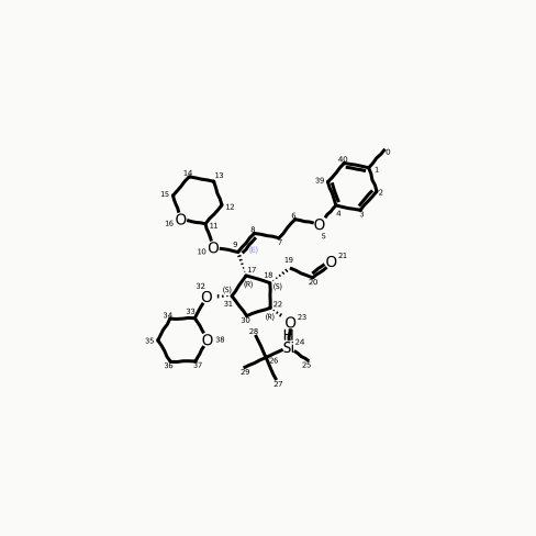 Cc1ccc(OCC/C=C(/OC2CCCCO2)[C@@H]2[C@H](CC=O)[C@H](O[SiH](C)C(C)(C)C)C[C@@H]2OC2CCCCO2)cc1